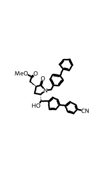 COC(=O)C[C@@H]1C[C@@H](C(O)c2ccc(-c3ccc(C#N)cc3)cc2)N(Cc2ccc(-c3ccccc3)cc2)C1=O